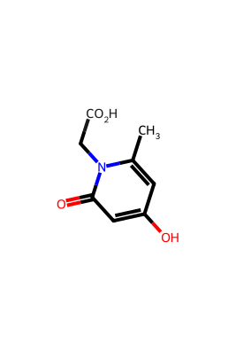 Cc1cc(O)cc(=O)n1CC(=O)O